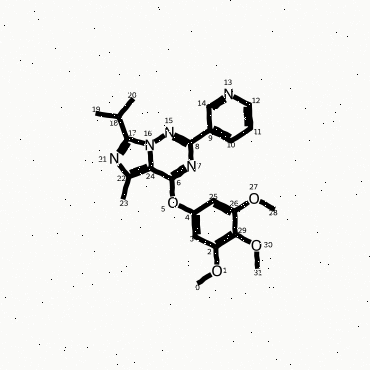 COc1cc(Oc2nc(-c3cccnc3)nn3c(C(C)C)nc(C)c23)cc(OC)c1OC